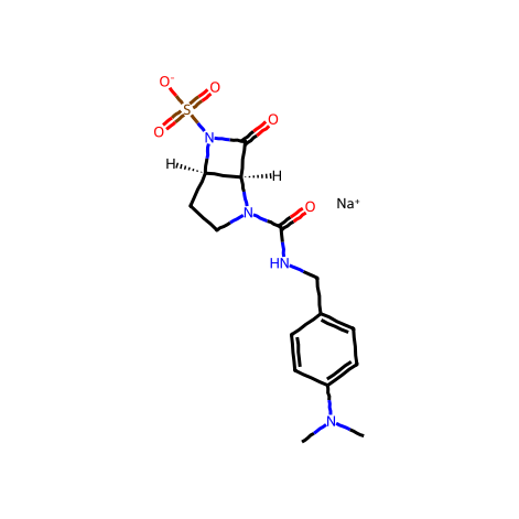 CN(C)c1ccc(CNC(=O)N2CC[C@@H]3[C@H]2C(=O)N3S(=O)(=O)[O-])cc1.[Na+]